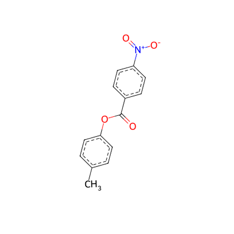 Cc1ccc(OC(=O)c2ccc([N+](=O)[O-])cc2)cc1